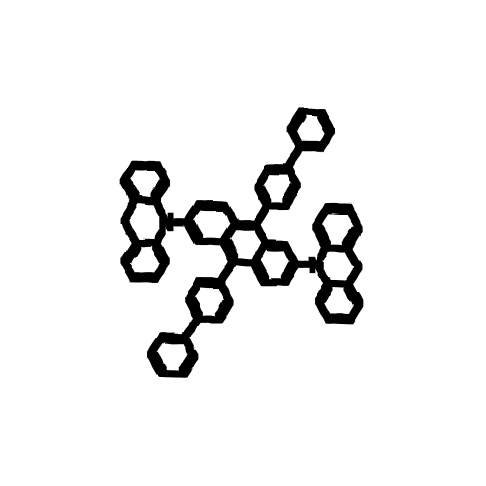 c1ccc(-c2ccc(-c3c4ccc(N5c6ccccc6Cc6ccccc65)cc4c(-c4ccc(-c5ccccc5)cc4)c4ccc(N5c6ccccc6Cc6ccccc65)cc34)cc2)cc1